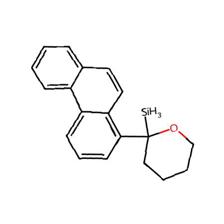 [SiH3]C1(c2cccc3c2ccc2ccccc23)CCCCO1